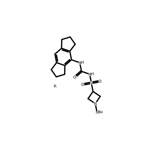 CCCCN1CC(S(=O)(=O)NC(=O)Nc2c3c(cc4c2CCC4)CCC3)C1.[K]